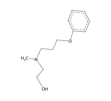 CN(CCO)CCCOc1ccccc1